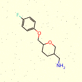 NCC1CCC(COc2ccc(F)cc2)OC1